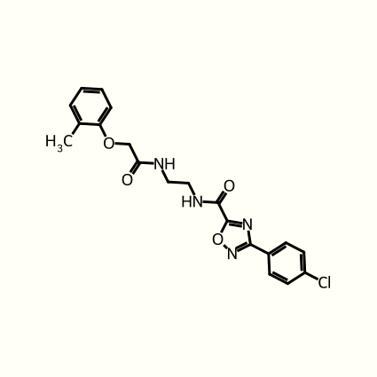 Cc1ccccc1OCC(=O)NCCNC(=O)c1nc(-c2ccc(Cl)cc2)no1